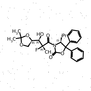 CC(C)[C@@H]1N(C(=O)[C@](C)(F)[C@H](O)[C@H]2COC(C)(C)O2)C(=O)OC1(c1ccccc1)c1ccccc1